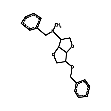 CN(Cc1ccccc1)C1COC2C(OCc3ccccc3)COC21